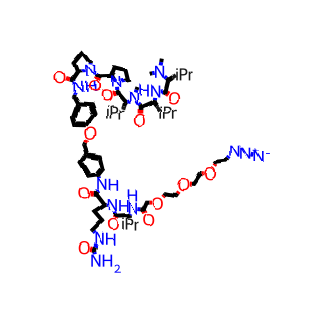 CC(C)C(NC(=O)COCCOCCOCCN=[N+]=[N-])C(=O)NC(CCCNC(N)=O)C(=O)Nc1ccc(COc2ccc(CNC(=O)C3CCCN3C(=O)C3CCCN3C(=O)C(C(C)C)N(C)C(=O)C(NC(=O)C(C(C)C)N(C)C)C(C)C)cc2)cc1